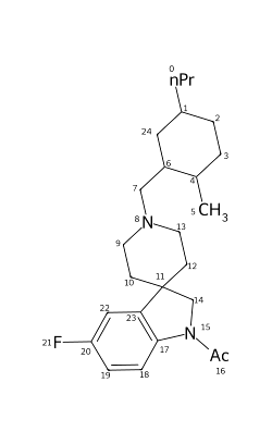 CCCC1CCC(C)C(CN2CCC3(CC2)CN(C(C)=O)c2ccc(F)cc23)C1